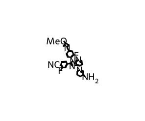 COC1CN(c2ccc(-n3c(-c4ccc(C#N)c(F)c4)nc4c(N5CCCC(N)C5)ccnc43)c(F)c2)C1